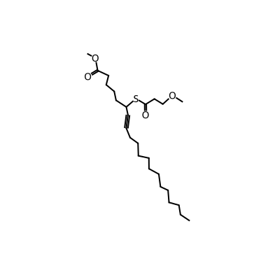 CCCCCCCCCCCCC#CC(CCCCC(=O)OC)SC(=O)CCOC